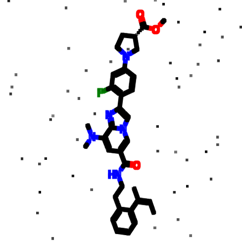 C/C=C(/C)c1ccccc1CCNC(=O)c1cc(N(C)C)c2nc(-c3ccc(N4CC[C@H](C(=O)OC)C4)cc3F)cn2c1